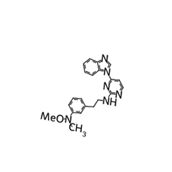 CON(C)c1cccc(CCNc2nccc(-n3cnc4ccccc43)n2)c1